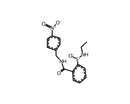 CCN[S+]([O-])c1ccccc1C(=O)NCc1ccc([N+](=O)[O-])cc1